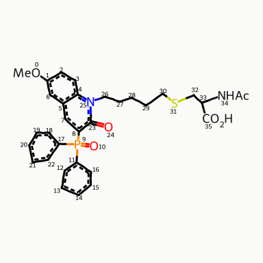 COc1ccc2c(c1)cc(P(=O)(c1ccccc1)c1ccccc1)c(=O)n2CCCCCSCC(NC(C)=O)C(=O)O